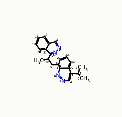 CC(C)c1cnnc2c(CC(C)c3nncc4ccccc34)cccc12